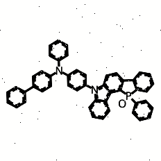 O=P1(c2ccccc2)c2ccccc2-c2ccc3c(c21)c1ccccc1n3-c1ccc(N(c2ccccc2)c2ccc(-c3ccccc3)cc2)cc1